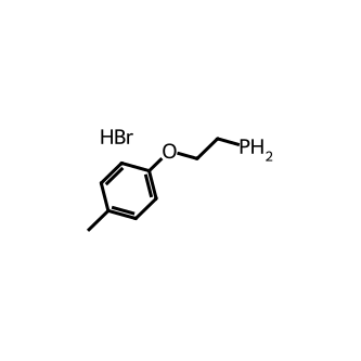 Br.Cc1ccc(OCCP)cc1